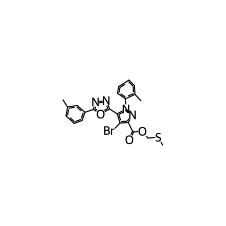 CSCOC(=O)c1nn(-c2ccccc2C)c(-c2nnc(-c3cccc(C)c3)o2)c1Br